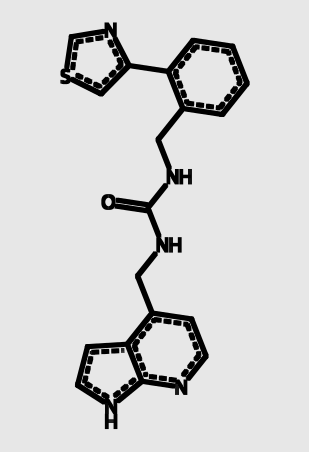 O=C(NCc1ccccc1-c1cscn1)NCc1ccnc2[nH]ccc12